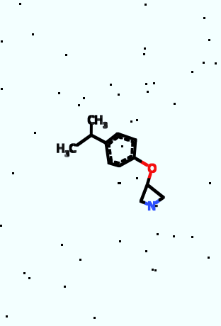 CC(C)c1ccc(OC2C[N]C2)cc1